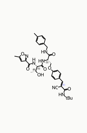 Cc1ccc(CNC(=O)[C@H](COc2ccc(/C=C(\C#N)C(=O)NC(C)(C)C)cc2)NC(=O)[C@@H](NC(=O)c2cc(C)on2)[C@@H](C)O)cc1